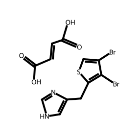 Brc1csc(Cc2c[nH]cn2)c1Br.O=C(O)C=CC(=O)O